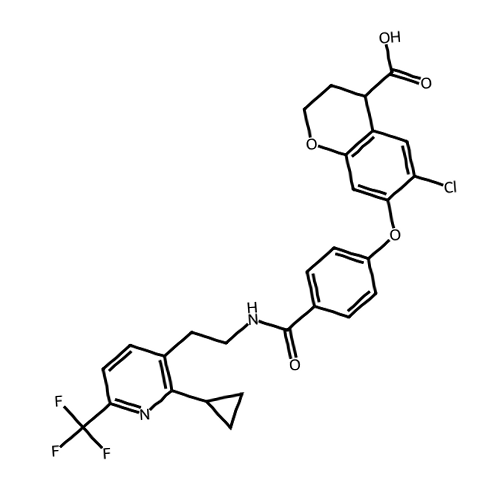 O=C(NCCc1ccc(C(F)(F)F)nc1C1CC1)c1ccc(Oc2cc3c(cc2Cl)C(C(=O)O)CCO3)cc1